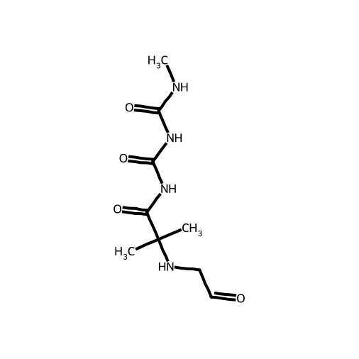 CNC(=O)NC(=O)NC(=O)C(C)(C)NCC=O